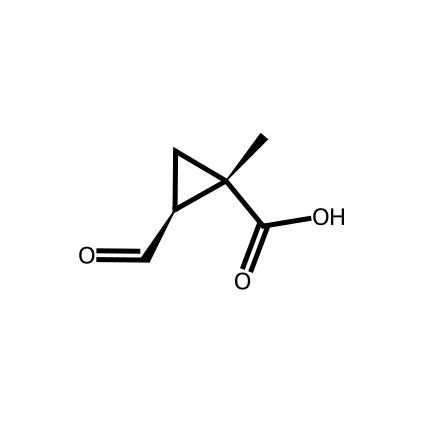 C[C@]1(C(=O)O)C[C@@H]1C=O